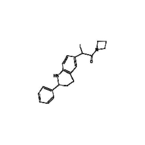 O=C(C(I)c1ccc2c(c1)CCC(c1ccccc1)N2)N1CCC1